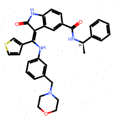 C[C@@H](NC(=O)c1ccc2c(c1)C(=C(Nc1cccc(CN3CCOCC3)c1)c1ccsc1)C(=O)N2)c1ccccc1